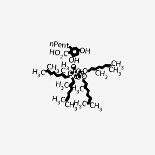 CC(C)=CCC/C(C)=C/COP(=O)(OC/C=C(\C)CCC=C(C)C)OP(=O)(OC/C=C(\C)CCC=C(C)C)OC/C=C(\C)CCC=C(C)C.CCCCCc1cc(O)cc(O)c1C(=O)O